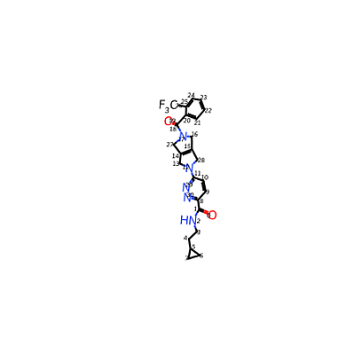 O=C(NCCC1CC1)c1ccc(N2CC3=C(CN(C(=O)c4ccccc4C(F)(F)F)C3)C2)nn1